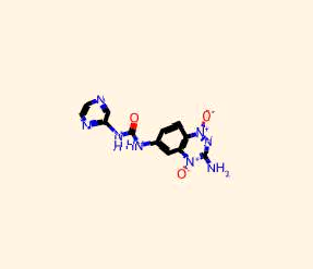 Nc1n[n+]([O-])c2ccc(NC(=O)Nc3cnccn3)cc2[n+]1[O-]